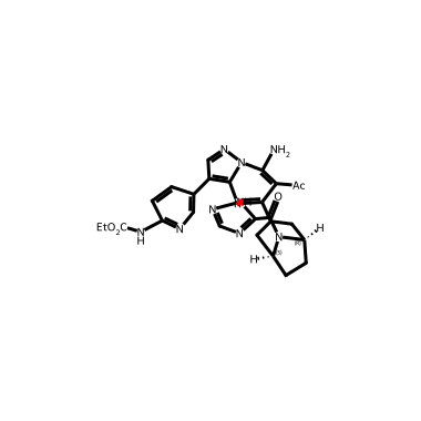 CCOC(=O)Nc1ccc(-c2cnn3c(N)c(C(C)=O)c(C4C[C@H]5CC[C@@H](C4)N5C(=O)c4ncn[nH]4)nc23)cn1